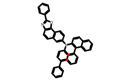 c1ccc(-c2ccc(N(c3ccc4c(ccc5nc(-c6ccccc6)oc54)c3)c3ccc4ccccc4c3-c3ccccc3)cc2)cc1